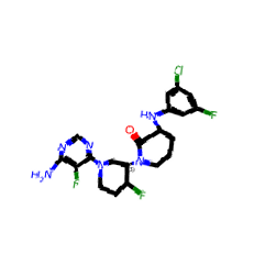 Nc1ncnc(N2CCC(F)[C@@H](N3CCCC(Nc4cc(F)cc(Cl)c4)C3=O)C2)c1F